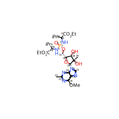 CCOC(=O)[C@@H](NP(=O)(N[C@@H](C(=O)OCC)C(C)C)OC[C@H]1O[C@@H](n2cnc3c(OC)nc(C)nc32)[C@@](C)(O)C1O)C(C)C